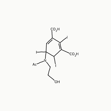 CC(=O)N(CCO)C1(I)C=C(C(=O)O)C(I)=C(C(=O)O)C1I